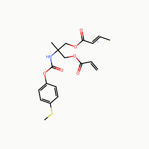 C=CC(=O)OCC(C)(COC(=O)/C=C/C)NC(=O)Oc1ccc(SC)cc1